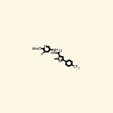 COc1ncc(NNC(=O)c2cc(-c3ccc(C(F)(F)F)cc3)nn2C)cc1F